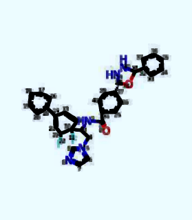 O=C(NC(Cn1ccnc1)C1(F)C=CC(c2ccccc2)=CC1F)c1ccc([C@@H]2NNC(c3ccccc3)O2)cc1